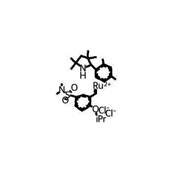 CC(C)Oc1ccc(S(=O)(=O)N(C)C)cc1[CH]=[Ru+2].Cc1ccc(C2NC(C)(C)CC2(C)C)c(C)c1.[Cl-].[Cl-]